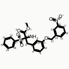 COC(=O)C(N)(Cc1cccc(OCc2cccc([N+](=O)[O-])c2)c1)S(=O)(=O)c1ccccc1